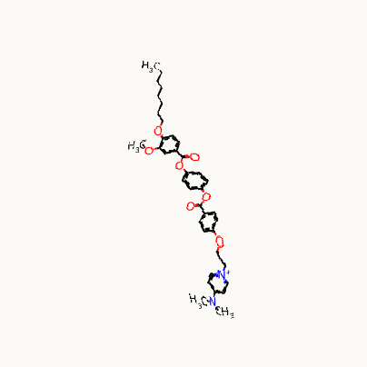 CCCCCCCCOc1ccc(C(=O)Oc2ccc(OC(=O)c3ccc(OCC[n+]4ccc(N(C)C)cc4)cc3)cc2)cc1OC